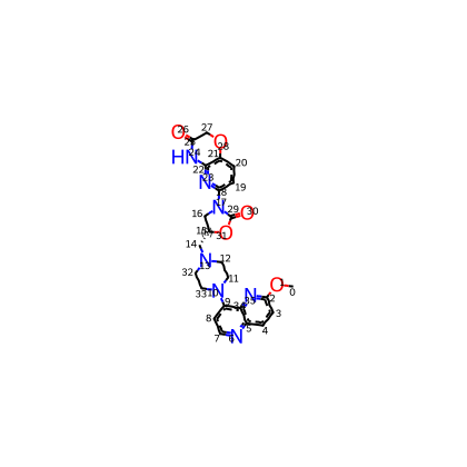 COc1ccc2nccc(N3CCN(C[C@@H]4CN(c5ccc6c(n5)NC(=O)CO6)C(=O)O4)CC3)c2n1